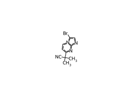 CC(C)(C#N)c1ccn2c(Br)cnc2n1